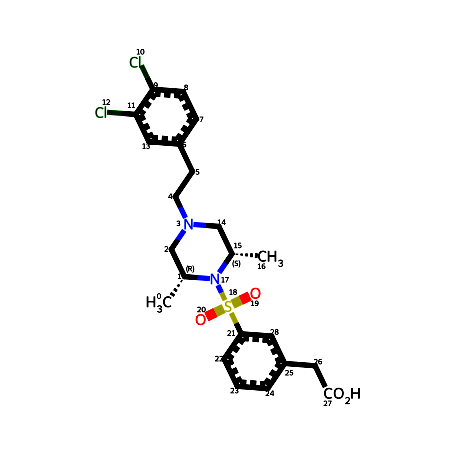 C[C@@H]1CN(CCc2ccc(Cl)c(Cl)c2)C[C@H](C)N1S(=O)(=O)c1cccc(CC(=O)O)c1